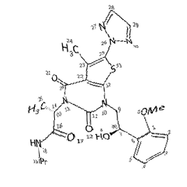 COc1ccccc1[C@@H](O)Cn1c(=O)n([C@@H](C)C(=O)NC(C)C)c(=O)c2c(C)c(-n3nccn3)sc21